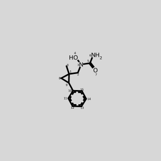 CC1(CN(O)C(N)=O)CC1c1ccccc1